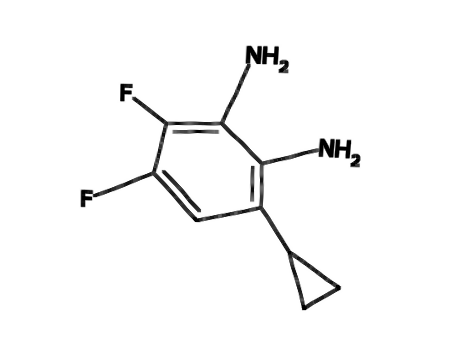 Nc1c(C2CC2)cc(F)c(F)c1N